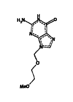 COCCOCn1cnc2c(=O)[nH]c(N)nc21